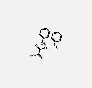 Cc1ccccc1.Cc1ccccc1.O=C(O)C(=O)O